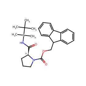 CC(C)(C)[Si](C)(C)NC(=O)[C@@H]1CCCN1C(=O)OCC1c2ccccc2-c2ccccc21